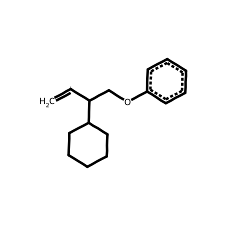 C=[C]C(COc1ccccc1)C1CCCCC1